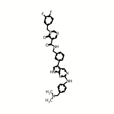 CN(C)Cc1ccc(Nc2ncc3c(-c4cccc(CNC(=O)c5cncn(Cc6ccc(F)c(F)c6)c5=O)c4)c[nH]c3n2)cc1